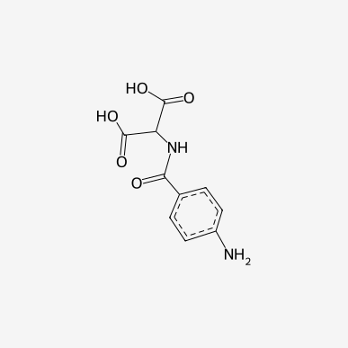 Nc1ccc(C(=O)NC(C(=O)O)C(=O)O)cc1